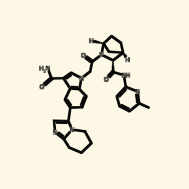 Cc1cccc(NC(=O)[C@@H]2[C@H]3CC[C@H](C3)N2C(=O)Cn2cc(C(N)=O)c3cc(-c4cnc5n4CCCC5)ccc32)n1